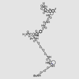 CCC(C)NCCOCCOCCOCCN/C1=C(\N=N)C(OCC(=O)NCCOCCOCCOCCOCCC(=O)N[C@H](C(=O)N[C@@H](CCCNC(N)=O)C(=O)Nc2ccc(COC(=O)NCC(=O)NCOCC(=O)NC3CCc4c(C)c(F)cc5nc6c(c3c45)Cn3c-6cc4c(c3=O)COC(=O)[C@]4(O)CC)cc2)C(C)C)CCCCC1